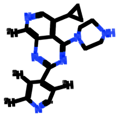 [2H]c1[c]nc([2H])c([2H])c1-c1nc(N2CCNCC2)c2c(C3CC3)cnc([2H])c2n1